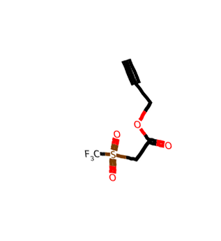 C#CCOC(=O)CS(=O)(=O)C(F)(F)F